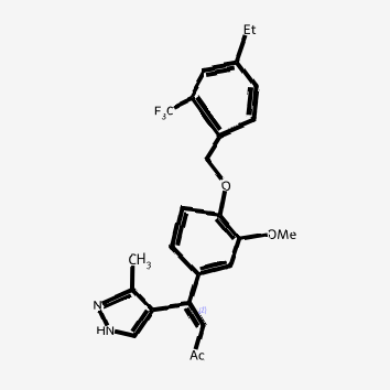 CCc1ccc(COc2ccc(/C(=C/C(C)=O)c3c[nH]nc3C)cc2OC)c(C(F)(F)F)c1